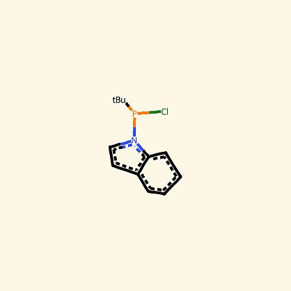 CC(C)(C)P(Cl)n1ccc2ccccc21